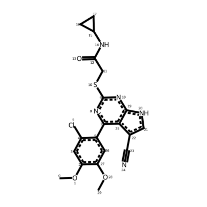 COc1cc(Cl)c(-c2nc(SCC(=O)NC3CC3)nc3[nH]cc(C#N)c23)cc1OC